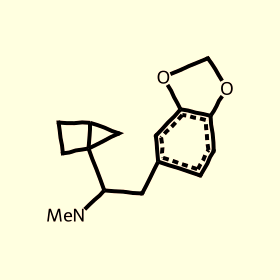 CNC(Cc1ccc2c(c1)OCO2)C12CCC1C2